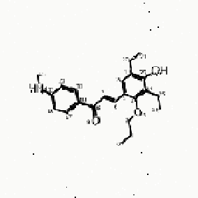 CCCOc1c(C=CC(=O)c2ccc(NC)cc2)cc(CC)c(O)c1CC